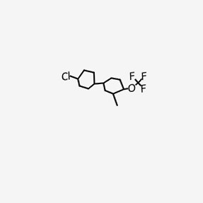 CC1CC(C2CCC(Cl)CC2)CCC1OC(F)(F)F